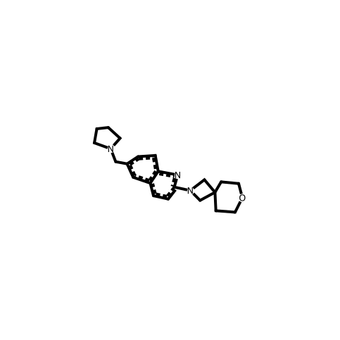 c1cc2nc(N3CC4(CCOCC4)C3)ccc2cc1CN1CCCC1